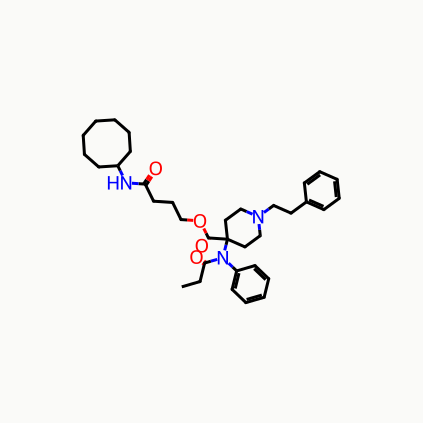 CCC(=O)N(c1ccccc1)C1(C(=O)OCCCC(=O)NC2CCCCCCC2)CCN(CCc2ccccc2)CC1